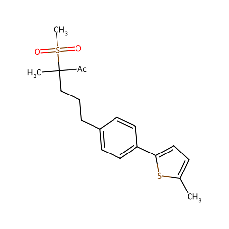 CC(=O)C(C)(CCCc1ccc(-c2ccc(C)s2)cc1)S(C)(=O)=O